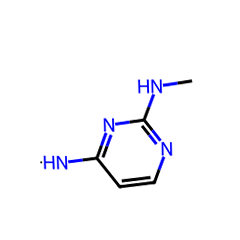 CNc1nccc([NH])n1